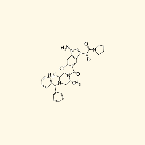 C[C@@H]1CN(C(c2ccccc2)c2ccccc2)[C@@H](C)CN1C(=O)c1cc2c(C(=O)C(=O)N3CCCC3)cn(N)c2cc1Cl